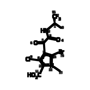 C[C@@H](NC(=O)C(=O)c1c(Cl)c(C(=O)O)n(C)c1Br)C(F)(F)F